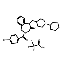 O=C(O)C(F)(F)F.O=C(c1ccc(Cl)cc1)N1CC(=O)N(CC2CCN(C3CCCCC3)CC2)c2ccccc2C1